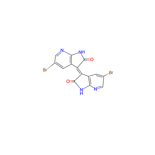 O=C1Nc2ncc(Br)cc2/C1=C1\C(=O)Nc2ncc(Br)cc21